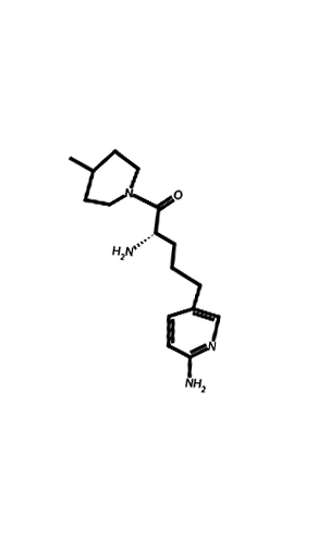 CC1CCN(C(=O)[C@@H](N)CCCc2ccc(N)nc2)CC1